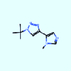 Cn1cncc1-c1cn(C(C)(C)C)nn1